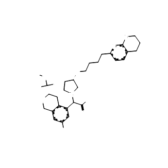 COC(C)(C)[C@@H]1Cc2c(cc(F)cc2C(C(=O)O)N2CC[C@@H](OCCCCc3ccc4c(n3)NCCC4)C2)CO1